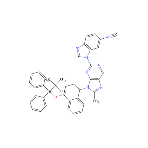 [C-]#[N+]c1ccc2ncn(-c3ncc4nc(C)n(C5CC[C@@H](O[Si](c6ccccc6)(c6ccccc6)C(C)(C)C)c6ccccc65)c4n3)c2c1